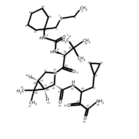 CCSCC1(NC(=O)N[C@H](C(=O)N2C[C@H]3[C@@H]([C@H]2C(=O)NC(CC2CC2)C(=O)C(N)=O)C3(C)C)C(C)(C)C)CCCCC1